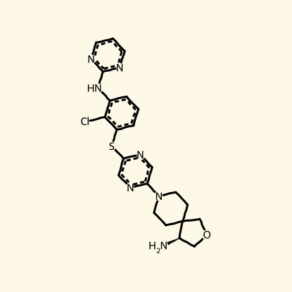 N[C@@H]1COCC12CCN(c1cnc(Sc3cccc(Nc4ncccn4)c3Cl)cn1)CC2